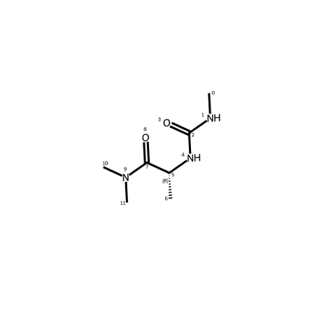 CNC(=O)N[C@H](C)C(=O)N(C)C